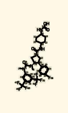 CN(C(=O)N(C)[C@@H]1CN(C(=O)NC2CCC(NC(=O)O)CC2)C[C@H]1c1ccc(F)cc1)c1cc(C(F)(F)F)cc(C(F)(F)F)c1